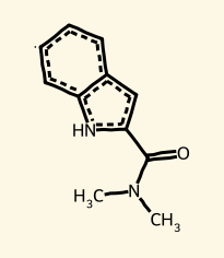 CN(C)C(=O)c1cc2cc[c]cc2[nH]1